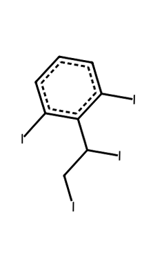 ICC(I)c1c(I)cccc1I